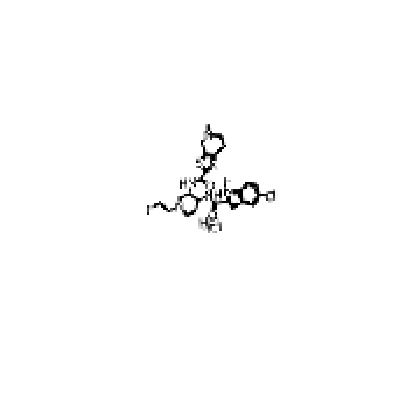 CN1CCc2nc(C(=O)N[C@@H]3CN(CCF)CC[C@@H]3NC(=O)c3cc4cc(Cl)ccc4[nH]3)sc2C1.Cl.Cl